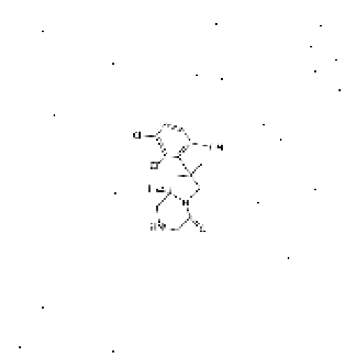 CC1(c2c(O)ccc(Cl)c2Cl)C[C@H]2CNCC(=O)N2C1